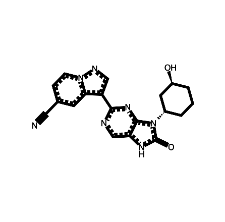 N#Cc1ccn2ncc(-c3ncc4[nH]c(=O)n([C@H]5CCC[C@H](O)C5)c4n3)c2c1